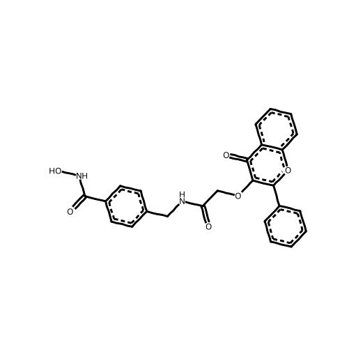 O=C(COc1c(-c2ccccc2)oc2ccccc2c1=O)NCc1ccc(C(=O)NO)cc1